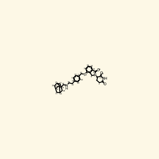 O=C1CCC(N2Cc3c(SCc4ccc(CCNCC56CC7CC(CC(C7)C5)C6)cc4)cccc3C2=O)C(=O)N1